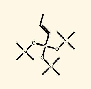 CC=C[Si](O[Si](C)(C)C)(O[Si](C)(C)C)O[Si](C)(C)C